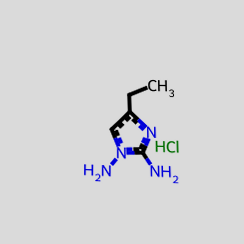 CCc1cn(N)c(N)n1.Cl